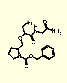 CC(C)CC(OC[C@@H]1CCCN1C(=O)OCc1ccccc1)C(=O)NCC(N)=O